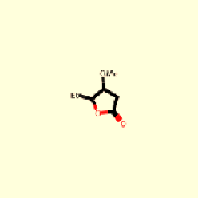 CCC1OC(=O)CC1OC